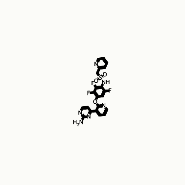 Nc1nccc(-c2cccnc2Oc2cc(F)c(NS(=O)(=O)Cc3ccccn3)c(F)c2F)n1